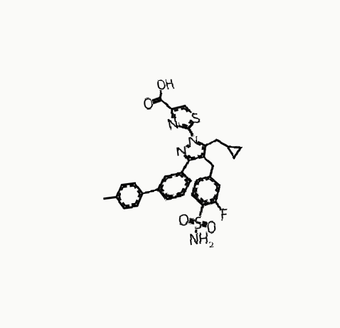 Cc1ccc(-c2cccc(-c3nn(-c4nc(C(=O)O)cs4)c(CC4CC4)c3Cc3ccc(S(N)(=O)=O)c(F)c3)c2)cc1